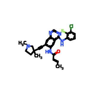 CC=CC(=O)Nc1cc2c(Nc3cccc(Cl)c3F)ncnc2cc1C#CC1(C)CCN(C)C1